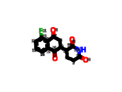 O=C1CCC(C2CC(=O)c3c(F)cccc3C2=O)C(=O)N1